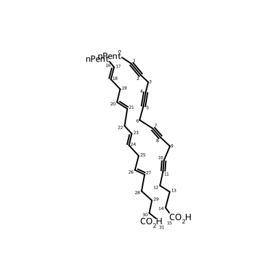 CCCCCC#CCC#CCC#CCC#CCCCC(=O)O.CCCCCC=CCC=CCC=CCC=CCCCC(=O)O